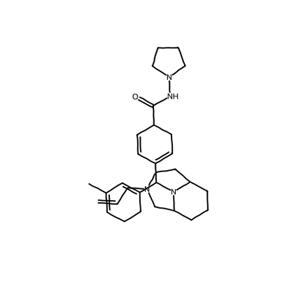 C=CCN1CCC2CCCC(C1)N2C(C1=CCC(C(=O)NN2CCCC2)C=C1)C1=CC(C)=CCC1